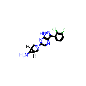 NC1[C@H]2CN(c3cnc4c(-c5cccc(Cl)c5Cl)n[nH]c4n3)C[C@@H]12